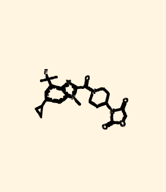 Cn1c(C(=O)N2CCC(N3C(=O)COC3=O)CC2)nc2c(C(C)(C)F)cc(C3CC3)cc21